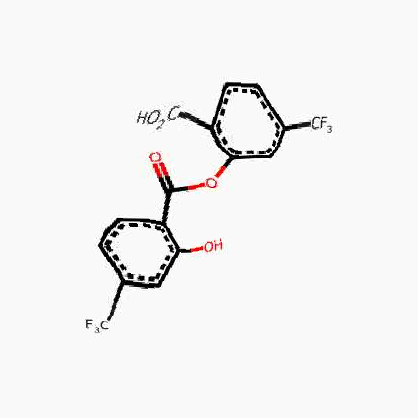 O=C(Oc1cc(C(F)(F)F)ccc1C(=O)O)c1ccc(C(F)(F)F)cc1O